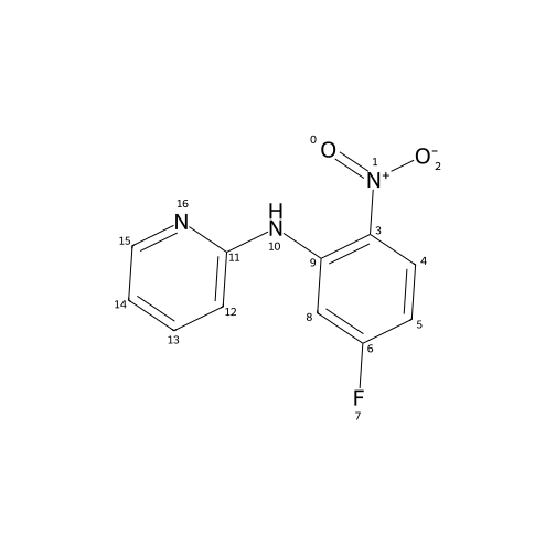 O=[N+]([O-])c1ccc(F)cc1Nc1ccccn1